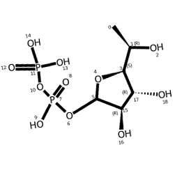 C[C@@H](O)[C@@H]1OC(OP(=O)(O)OP(=O)(O)O)[C@H](O)[C@H]1O